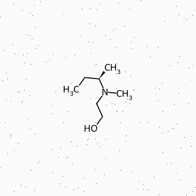 CC[C@@H](C)N(C)CCO